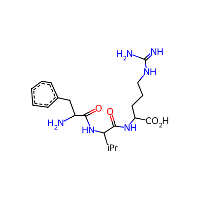 CC(C)C(NC(=O)C(N)Cc1ccccc1)C(=O)NC(CCCNC(=N)N)C(=O)O